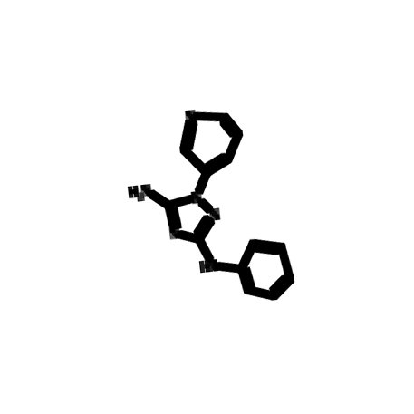 Nc1nc(Nc2ccccc2)nn1-c1cccnc1